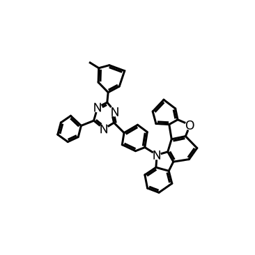 Cc1cccc(-c2nc(-c3ccccc3)nc(-c3ccc(-n4c5ccccc5c5ccc6oc7ccccc7c6c54)cc3)n2)c1